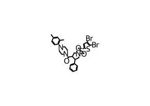 Cc1ccc(N2CCN(C(=O)C3CN(S(=O)(=O)c4cc(Br)c(Br)s4)CC3c3ccccc3)CC2)c(C)c1